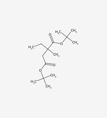 CCC(C)(CC(=O)OC(C)(C)C)C(=O)OC(C)(C)C